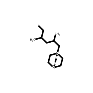 CC(CI)CC(C)C[N+]12CCN(CC1)CC2